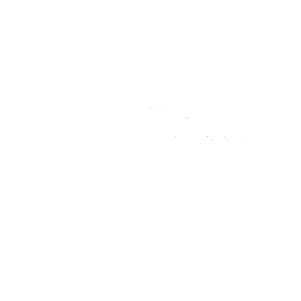 Cl.[N-]=[N+]=NC[C@H]1C[C@H](Oc2ccc(OC(F)F)c(OCC3CC3)c2)CN1